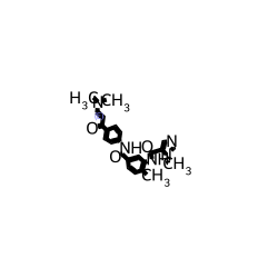 Cc1ccc(C(=O)Nc2ccc(C(=O)/C=C/N(C)C)cc2)cc1NC(=O)c1cncn1C